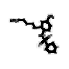 CCOC(=O)CCCOc1cc(N)ccc1NS(=O)(=O)c1ccccc1